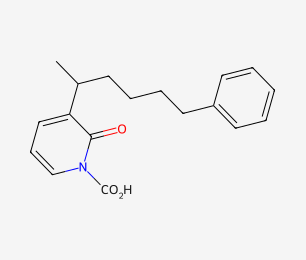 CC(CCCCc1ccccc1)c1cccn(C(=O)O)c1=O